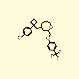 FC(F)(F)c1ccc(OCC2CC(CC3(c4ccc(Cl)cc4)CCC3)CCCO2)cc1